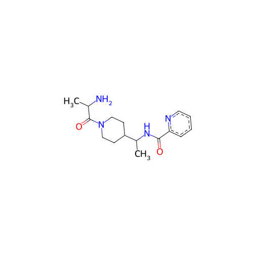 CC(N)C(=O)N1CCC(C(C)NC(=O)c2ccccn2)CC1